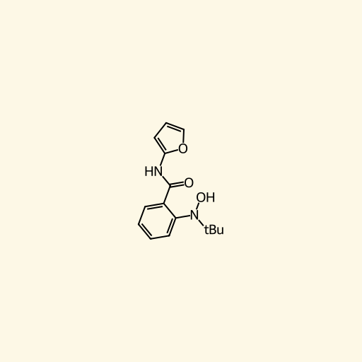 CC(C)(C)N(O)c1ccccc1C(=O)Nc1ccco1